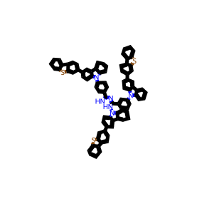 N=C(/N=C(\Nn1c2ccccc2c2cc(-c3ccc4c(c3)sc3ccccc34)ccc21)c1cccc(-n2c3ccccc3c3cc(-c4ccc5c(c4)sc4ccccc45)ccc32)c1)c1ccc(-n2c3ccccc3c3cc(-c4ccc5c(c4)sc4ccccc45)ccc32)cc1